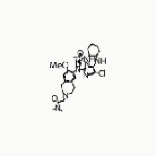 COc1cc2c(cc1Nc1ncc(Cl)c(N[C@@H]3CCCCC3NS(C)(=O)=O)n1)CCN(CC(=O)N(C)C)CC2